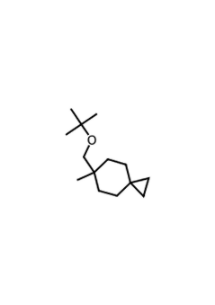 CC1(COC(C)(C)C)CCC2(CC1)CC2